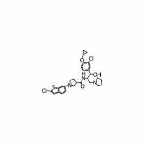 O=C(N[C@H](CN1CCCC1)[C@H](O)c1ccc(OC2CC2)c(Cl)c1)C1CCN(c2ccc3cc(Cl)sc3c2)C1